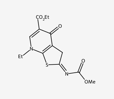 CCOC(=O)c1cn(CC)c2c(c1=O)C/C(=N\C(=O)OC)S2